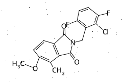 COc1ccc2c(c1C)C(=O)N(Cc1c(F)ccc(F)c1Cl)C2=O